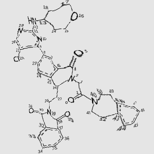 O=C(CN1C(=O)c2cc(-c3nc(NC4CCOCC4)ncc3Cl)ccc2C1CCN1C(=O)c2ccccc2C1=O)N1CCc2ccccc2CC1